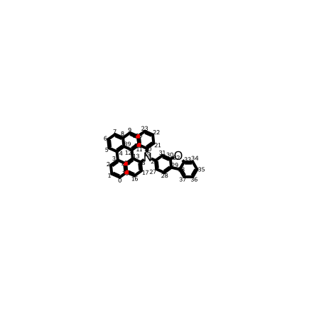 c1ccc(-c2cccc3cccc(-c4ccccc4N(c4ccccc4)c4ccc5c(c4)oc4ccccc45)c23)cc1